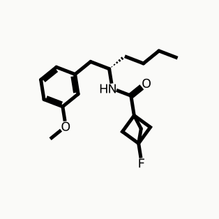 CCCC[C@@H](Cc1cccc(OC)c1)NC(=O)C12CC(F)(C1)C2